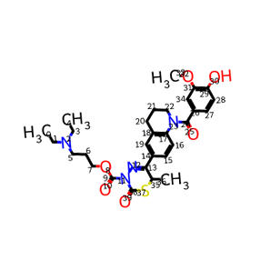 CCN(CC)CCCOC(=O)N1N=C(c2ccc3c(c2)CCCN3C(=O)c2ccc(O)c(OC)c2)C(C)SC1=O